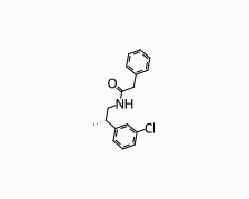 C[C@H](CNC(=O)Cc1ccccc1)c1cccc(Cl)c1